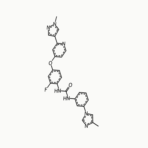 Cc1cn(-c2cccc(NC(=O)Nc3ccc(Oc4ccnc(-c5cnn(C)c5)c4)cc3F)c2)cn1